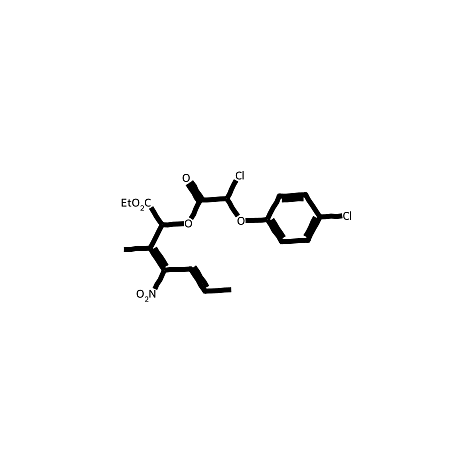 CC=CC(=C(C)C(OC(=O)C(Cl)Oc1ccc(Cl)cc1)C(=O)OCC)[N+](=O)[O-]